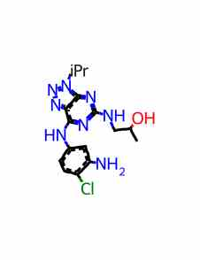 CC(O)CNc1nc(Nc2ccc(Cl)c(N)c2)c2nnn(C(C)C)c2n1